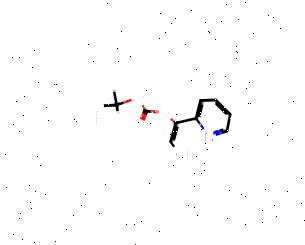 C/C=C(/OC(=O)OC(C)(C)C)c1ccccn1